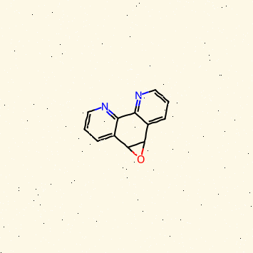 c1cnc2c(c1)C1OC1c1cccnc1-2